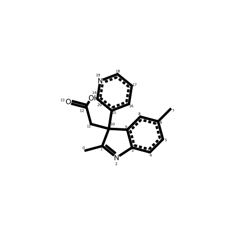 CC1=Nc2ccc(C)cc2C1(CC(=O)O)c1cccnc1